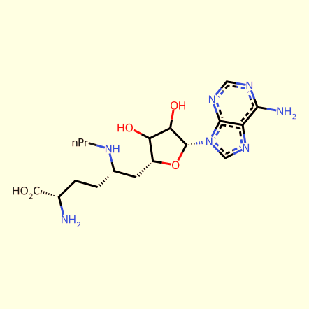 CCCN[C@@H](CC[C@H](N)C(=O)O)C[C@H]1O[C@@H](n2cnc3c(N)ncnc32)C(O)C1O